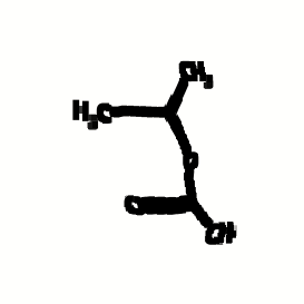 [CH]C(=O)OC(C)C